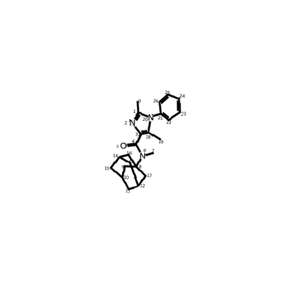 Cc1nc(C(=O)N(C)C23CC4CC(CC(C4)C2)C3)c(C)n1-c1ccccc1